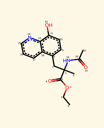 CCOC(=O)C(C)(Cc1ccc(O)c2ncccc12)NC(C)=O